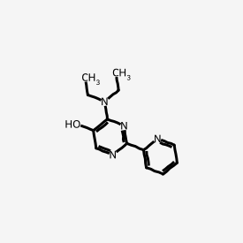 CCN(CC)c1nc(-c2ccccn2)ncc1O